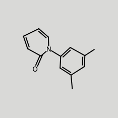 Cc1cc(C)cc(-n2ccccc2=O)c1